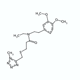 CCN(CCc1ccc(OC)c(OC)c1)C(=O)CCSCc1nnnn1C